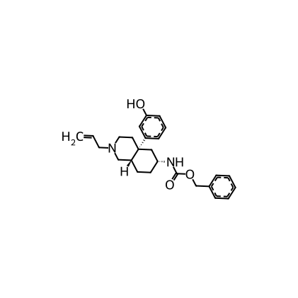 C=CCN1CC[C@@]2(c3cccc(O)c3)C[C@H](NC(=O)OCc3ccccc3)CC[C@@H]2C1